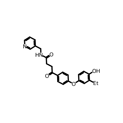 CCc1cc(Oc2ccc(C(=O)CCC(=O)NCc3cccnc3)cc2)ccc1O